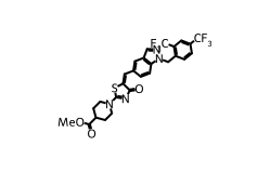 COC(=O)C1CCN(C2=NC(=O)/C(=C\c3ccc4c(cnn4Cc4ccc(C(F)(F)F)cc4C(F)(F)F)c3)S2)CC1